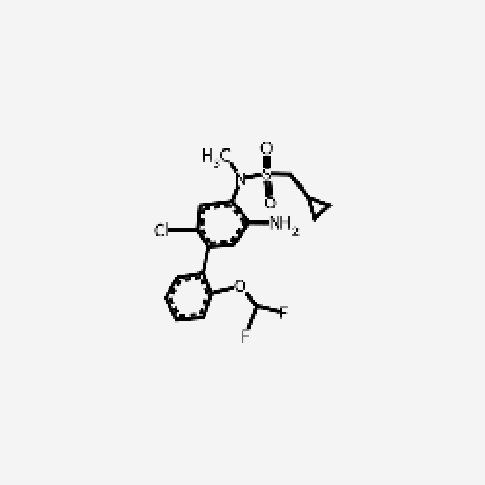 CN(c1cc(Cl)c(-c2ccccc2OC(F)F)cc1N)S(=O)(=O)CC1CC1